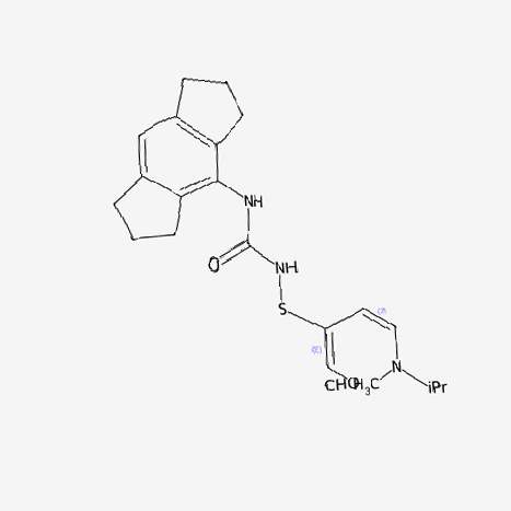 CC(C)N(C)/C=C\C(=C/C=O)SNC(=O)Nc1c2c(cc3c1CCC3)CCC2